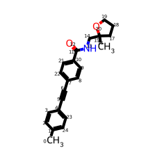 Cc1ccc(C#Cc2ccc(C(=O)NCC3(C)CCCO3)cc2)cc1